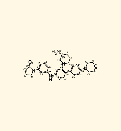 N[C@H]1CCCN(c2cc(Nc3cccc(N4CCOC4=O)n3)ncc2-c2ccc(N3CCOCC3)nc2)C1